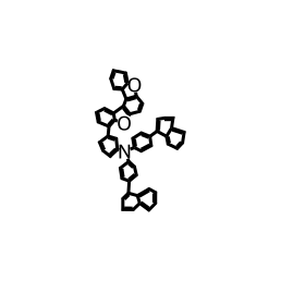 c1cc(-c2cccc3c2oc2ccc4oc5ccccc5c4c23)cc(N(c2ccc(-c3cccc4ccccc34)cc2)c2ccc(-c3cccc4ccccc34)cc2)c1